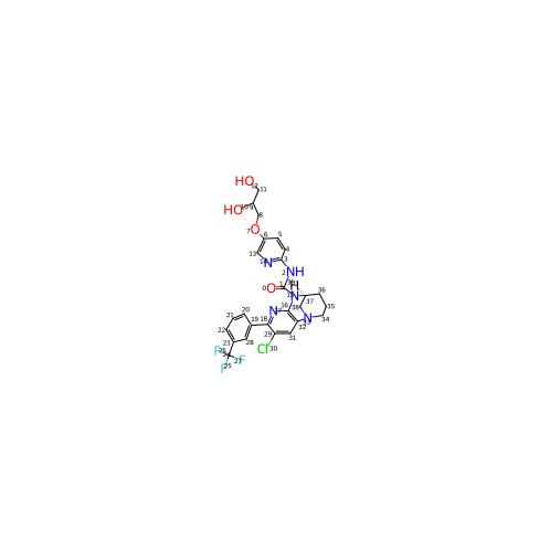 O=C(Nc1ccc(OCC(O)CO)cn1)N1c2nc(-c3cccc(C(F)(F)F)c3)c(Cl)cc2N2CCC[C@H]1C2